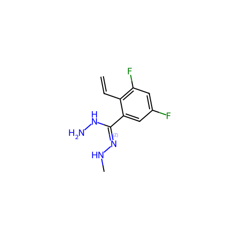 C=Cc1c(F)cc(F)cc1/C(=N/NC)NN